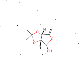 C=C1O[C@@H](O)[C@@H]2OC(C)(C)O[C@H]12